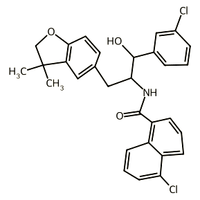 CC1(C)COc2ccc(CC(NC(=O)c3cccc4c(Cl)cccc34)C(O)c3cccc(Cl)c3)cc21